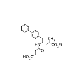 CCOC(=O)[C@@H](C)C[C@@H](Cc1ccc(-c2ccccc2)cc1)NC(=O)CCC(=O)O